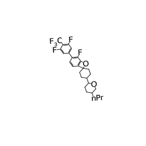 CCCC1CCC(C2CCC3(CC2)Oc2c3ccc(-c3cc(F)c(C(F)(F)F)c(F)c3)c2F)OC1